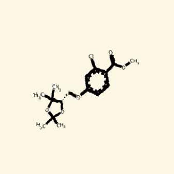 COC(=O)c1ccc(OC[C@@H]2OC(C)(C)OC2(C)C)cc1Cl